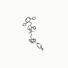 CC(C)(CCc1nc(-c2ccc(F)cc2)no1)N1CCC(Cc2c(Cl)cccc2Cl)C1=O